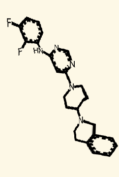 Fc1cccc(Nc2cc(N3CCC(N4CCc5ccccc5C4)CC3)ncn2)c1F